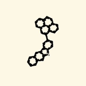 c1ccc2cc3c(cc2c1)sc1ccc(-c2cc4cccc5ccc6cccc2c6c54)cc13